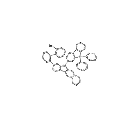 Brc1ccccc1-c1ccccc1-c1ccc2c3cc4ccccc4cc3n(-c3ccc4c(c3)C(c3ccccc3)(c3ccccc3)c3ccccc3-4)c2c1